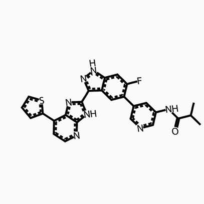 CC(C)C(=O)Nc1cncc(-c2cc3c(-c4nc5c(-c6cccs6)ccnc5[nH]4)n[nH]c3cc2F)c1